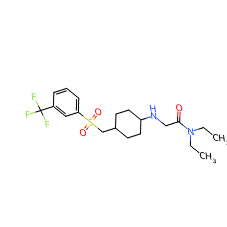 CCN(CC)C(=O)CNC1CCC(CS(=O)(=O)c2cccc(C(F)(F)F)c2)CC1